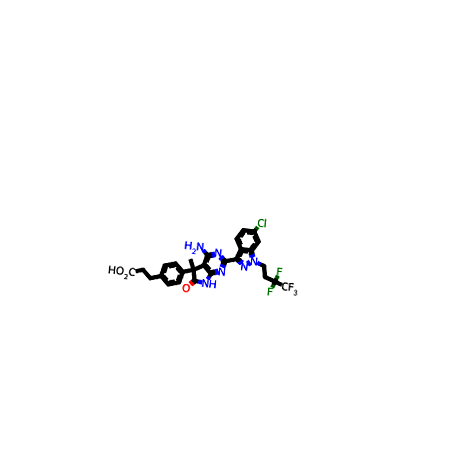 CC1(c2ccc(CCC(=O)O)cc2)C(=O)Nc2nc(-c3nn(CCC(F)(F)C(F)(F)F)c4cc(Cl)ccc34)nc(N)c21